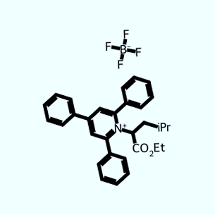 CCOC(=O)C(CC(C)C)[n+]1c(-c2ccccc2)cc(-c2ccccc2)cc1-c1ccccc1.F[B-](F)(F)F